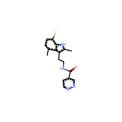 Cc1[nH]c2c(F)ccc(C)c2c1CCNC(=O)c1ccnnc1